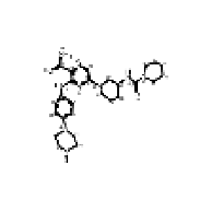 CN1CCN(c2ccc(Nc3nc(N4CCCC(NC(=O)N5CCCCC5)C4)cnc3C(N)=O)cc2)CC1